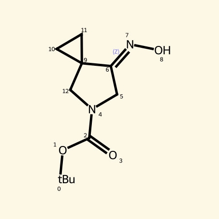 CC(C)(C)OC(=O)N1C/C(=N\O)C2(CC2)C1